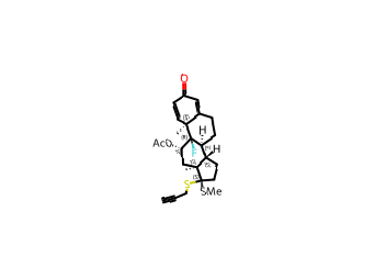 C#CCS[C@@]1(SC)CC[C@H]2[C@@H]3CCC4=CC(=O)C=C[C@]4(C)[C@@]3(F)[C@@H](OC(C)=O)C[C@@]21C